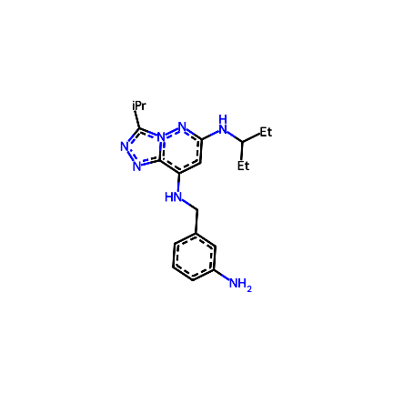 CCC(CC)Nc1cc(NCc2cccc(N)c2)c2nnc(C(C)C)n2n1